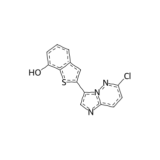 Oc1cccc2cc(-c3cnc4ccc(Cl)nn34)sc12